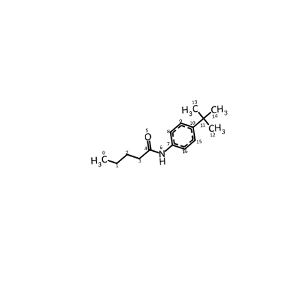 CCCCC(=O)Nc1ccc(C(C)(C)C)cc1